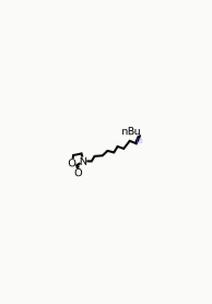 CCCC/C=C\CCCCCCCCN1CCOC1=O